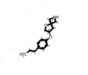 CCCc1ccc(O[C@H]2COC3(CNC3)C2)cc1